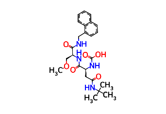 COC[C@H](NC(=O)[C@H](CC(=O)NC(C)(C)C)NC(=O)O)C(=O)NCc1cccc2ccccc12